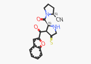 N#C[C@@H]1CCCN1C(=O)[C@H]1NCC(=S)C1C(=O)c1cc2ccccc2o1